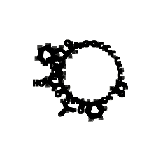 CC(C)C[C@H]1NC(=O)c2ccccc2OCC(=O)N(C)CCCCCCCCNC(=O)[C@H](Cc2cccnc2)N(C)C(=O)[C@H]2C[C@H](O)CN2C1=O